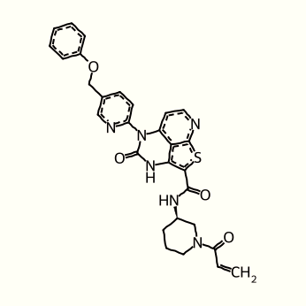 C=CC(=O)N1CCC[C@@H](NC(=O)c2sc3nccc4c3c2NC(=O)N4c2ccc(COc3ccccc3)cn2)C1